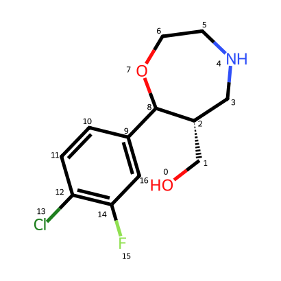 OC[C@H]1CNCCOC1c1ccc(Cl)c(F)c1